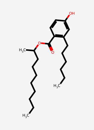 CCCCCCCCC(C)OC(=O)c1ccc(O)cc1CCCCCC